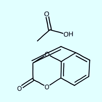 CC(=O)O.O=C1Oc2cccc3cc1oc23